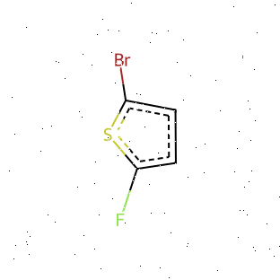 Fc1ccc(Br)s1